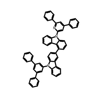 c1ccc(-c2cc(-c3ccccc3)cc(-n3c4ccccc4c4cc(-c5cccc6c5c5ccccc5n6-c5cc(-c6ccccc6)cc(-c6ccccc6)n5)ccc43)c2)cc1